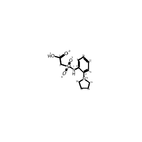 O=C(O)CS(=O)(=O)Nc1ccccc1N1CCCC1